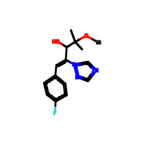 CCOC(C)(C)C(O)C(=Cc1ccc(F)cc1)n1cncn1